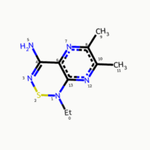 CCN1SN=C(N)c2nc(C)c(C)nc21